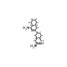 Nc1nc(-c2ccc3c(c2)=CN(N)NC=3)cc2cc[c]cc12